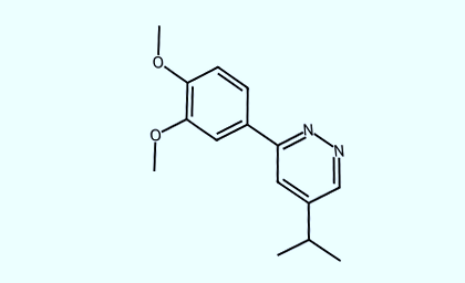 COc1ccc(-c2cc(C(C)C)cnn2)cc1OC